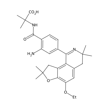 CCOc1cc2c(c3c1OC(C)(C)C3)C(c1ccc(C(=O)NC(C)(C)C(=O)O)c(N)c1)=NC(C)(C)C2